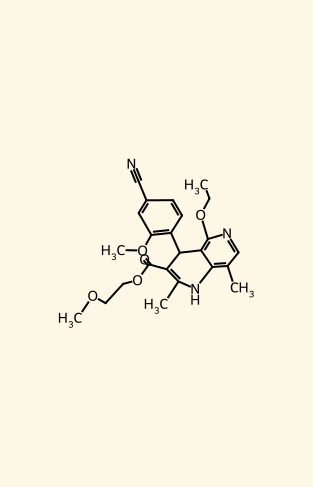 CCOc1ncc(C)c2c1C(c1ccc(C#N)cc1OC)C(C(=O)OCCOC)=C(C)N2